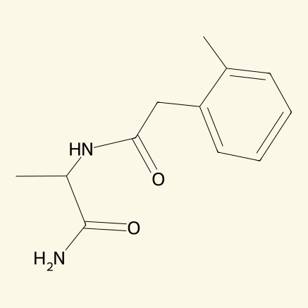 Cc1ccccc1CC(=O)NC(C)C(N)=O